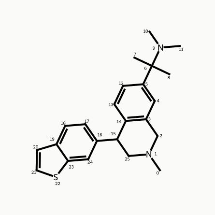 CN1Cc2cc(C(C)(C)N(C)C)ccc2C(c2ccc3ccsc3c2)C1